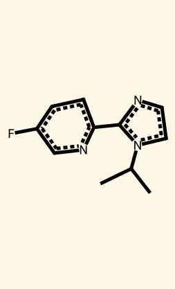 CC(C)n1ccnc1-c1ccc(F)cn1